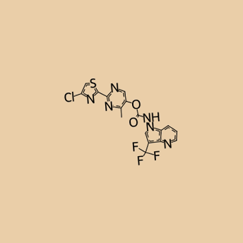 Cc1nc(-c2nc(Cl)cs2)ncc1OC(=O)Nn1cc(C(F)(F)F)c2ncccc21